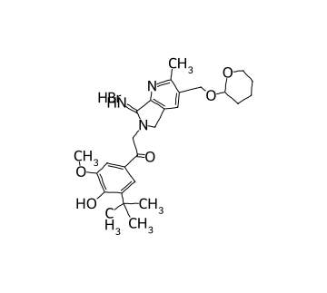 Br.COc1cc(C(=O)CN2Cc3cc(COC4CCCCO4)c(C)nc3C2=N)cc(C(C)(C)C)c1O